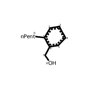 CCCCCc1cc[c]cc1CO